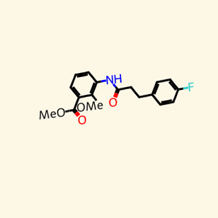 COC(=O)c1cccc(NC(=O)CCc2ccc(F)cc2)c1OC